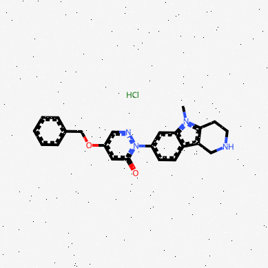 Cl.Cn1c2c(c3ccc(-n4ncc(OCc5ccccc5)cc4=O)cc31)CNCC2